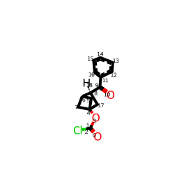 O=C(Cl)OC12CC(C1)[C@@H](C(=O)c1ccccc1)C2